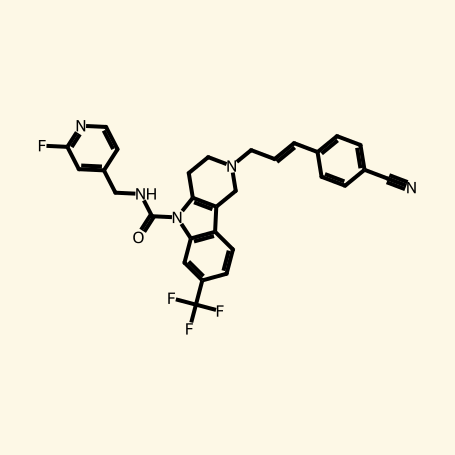 N#Cc1ccc(C=CCN2CCc3c(c4ccc(C(F)(F)F)cc4n3C(=O)NCc3ccnc(F)c3)C2)cc1